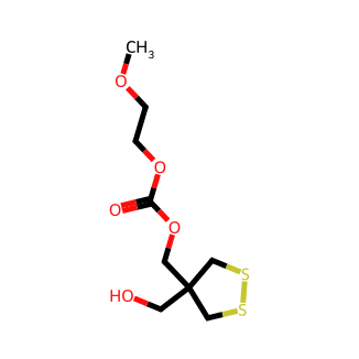 COCCOC(=O)OCC1(CO)CSSC1